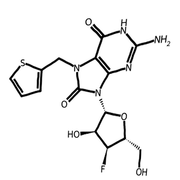 Nc1nc2c(c(=O)[nH]1)n(Cc1cccs1)c(=O)n2[C@@H]1O[C@H](CO)[C@@H](F)[C@H]1O